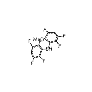 COc1c(F)cc(F)c(F)c1Bc1c(F)c(F)cc(F)c1F